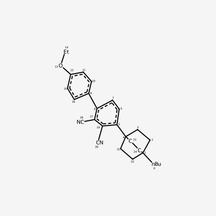 CCCCC12CCC(c3ccc(-c4ccc(OCC)cc4)c(C#N)c3C#N)(CC1)CC2